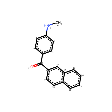 CNc1ccc(C(=O)c2ccc3ccccc3c2)cc1